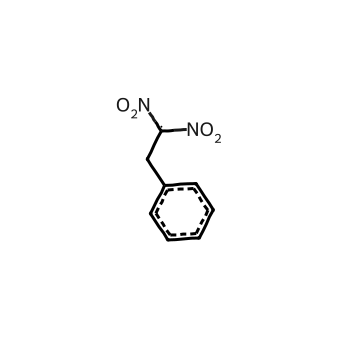 O=[N+]([O-])[C](Cc1ccccc1)[N+](=O)[O-]